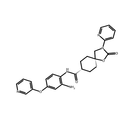 Nc1cc(Oc2cccnc2)ccc1NC(=O)[C@H]1CC[C@]2(CC1)CN(c1ccccn1)C(=O)O2